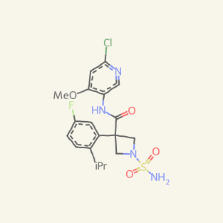 COc1cc(Cl)ncc1NC(=O)C1(c2cc(F)ccc2C(C)C)CN(S(N)(=O)=O)C1